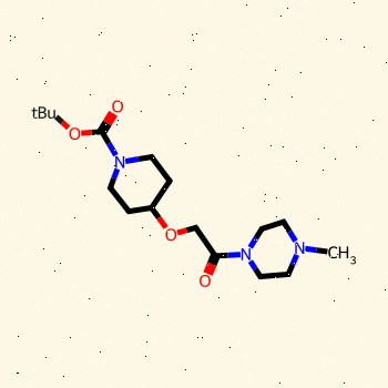 CN1CCN(C(=O)COC2CCN(C(=O)OC(C)(C)C)CC2)CC1